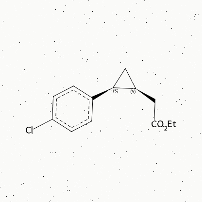 CCOC(=O)C[C@@H]1C[C@@H]1c1ccc(Cl)cc1